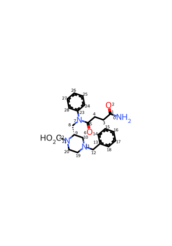 NC(=O)CCC(=O)N(C[C@@H]1CN(Cc2ccccc2)CCN1C(=O)O)c1ccccc1